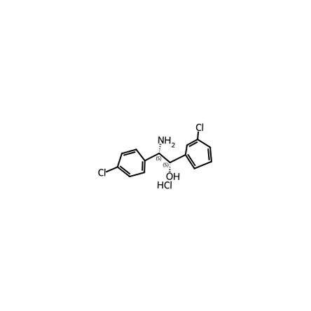 Cl.N[C@@H](c1ccc(Cl)cc1)[C@@H](O)c1cccc(Cl)c1